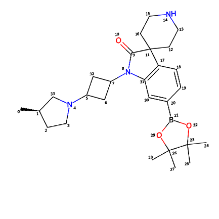 C[C@@H]1CCN(C2CC(N3C(=O)C4(CCNCC4)c4ccc(B5OC(C)(C)C(C)(C)O5)cc43)C2)C1